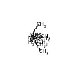 CCCCCCCCSC1=NC=NC(SCCCCCCCC)N1N(O)c1cc(C(C)(C)C)cc(C(C)(C)C)c1